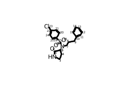 O=C1NCC[C@H]1N(CCCc1ccccc1)S(=O)(=O)c1ccc(Cl)cc1